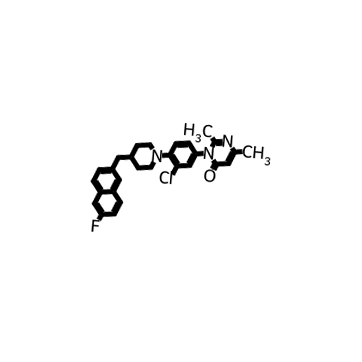 Cc1cc(=O)n(-c2ccc(N3CCC(Cc4ccc5cc(F)ccc5c4)CC3)c(Cl)c2)c(C)n1